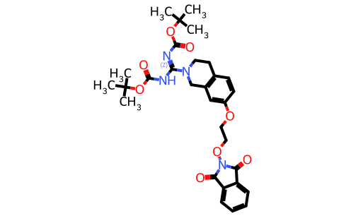 CC(C)(C)OC(=O)/N=C(/NC(=O)OC(C)(C)C)N1CCc2ccc(OCCON3C(=O)c4ccccc4C3=O)cc2C1